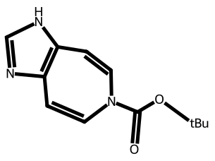 CC(C)(C)OC(=O)N1C=Cc2nc[nH]c2C=C1